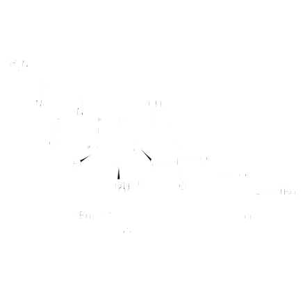 C/C(=C/P(=O)(OCOC(=O)C(C)(C)C)OCOC(=O)C(C)(C)C)[C@@]1(CCl)O[C@@H](n2ccc(N)nc2=O)[C@H](F)[C@@H]1O